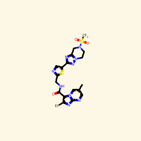 CCc1nc2ncc(C)cn2c1C(=O)NCc1ncc(-c2nc3n(n2)CCN(S(=O)(=O)C(F)(F)F)C3)s1